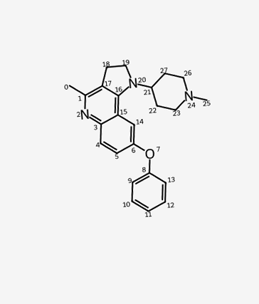 Cc1nc2ccc(Oc3ccccc3)cc2c2c1CCN2C1CCN(C)CC1